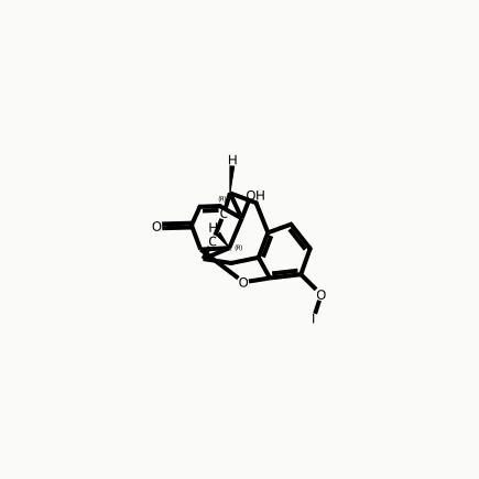 O=C1C=CC2(O)[C@@H]3CCC4Cc5c(ccc(OI)c5OC1[C@@H]42)C3